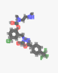 CNCCN(C)C(=O)Oc1ccc(Cl)cc1Cn1nc(-c2ccc(C(F)(F)F)cc2)oc1=O